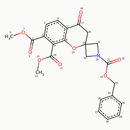 COC(=O)c1ccc2c(c1C(=O)OC)OC1(CC2=O)CN(C(=O)OCc2ccccc2)C1